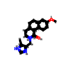 COc1ccc2c(ccc3ccn(Cc4nc[nH]c4C)c(=O)c32)c1